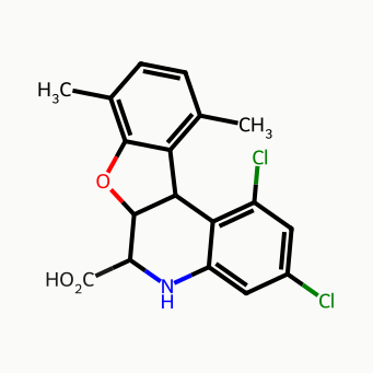 Cc1ccc(C)c2c1OC1C(C(=O)O)Nc3cc(Cl)cc(Cl)c3C21